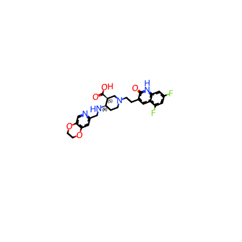 O=C(O)[C@H]1CN(CCc2cc3c(F)cc(F)cc3[nH]c2=O)CC[C@H]1NCc1cc2c(cn1)OCCO2